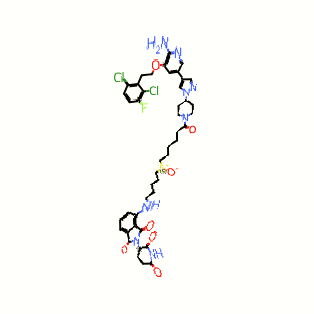 Nc1ncc(-c2cnn(C3CCN(C(=O)CCCCC[S@@+]([O-])CCCCCNc4cccc5c4C(=O)N([C@@H]4CCC(=O)NC4=O)C5=O)CC3)c2)cc1OCCc1c(Cl)ccc(F)c1Cl